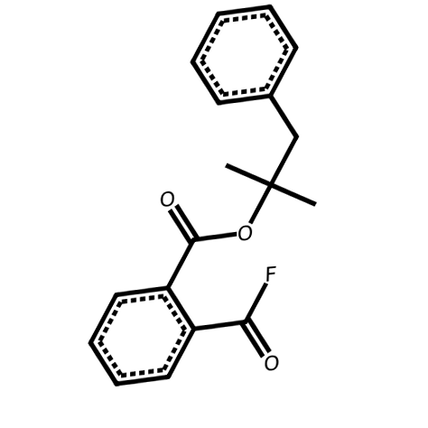 CC(C)(Cc1ccccc1)OC(=O)c1ccccc1C(=O)F